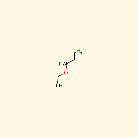 CC[O][AlH][CH2]C